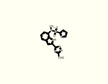 CN(c1cccc2cc(-c3nnc(C=O)s3)[nH]c12)S(=O)(=O)c1cccs1